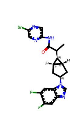 CC(C(=O)Nc1cnc(Br)cn1)[C@H]1[C@@H]2C[C@@H](n3cnc4cc(F)c(F)cc43)C[C@@H]21